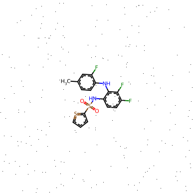 Cc1ccc(Nc2c(NS(=O)(=O)c3cccs3)ccc(F)c2F)c(F)c1